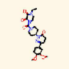 CCN1CCN(C(=O)N2CCC(N3N=C(c4ccc(OC)c(OC)c4)CCC3=O)CC2)C(=O)C1=O